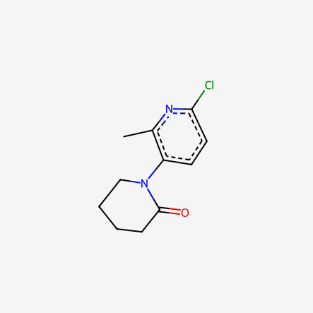 Cc1nc(Cl)ccc1N1CCCCC1=O